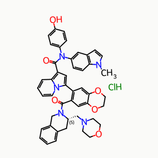 Cl.Cn1ccc2cc(N(C(=O)c3cc(-c4cc5c(cc4C(=O)N4Cc6ccccc6C[C@H]4CN4CCOCC4)OCCO5)n4ccccc34)c3ccc(O)cc3)ccc21